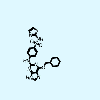 O=S(=O)(Nc1nccs1)c1ccc(Nc2nc(OCC3CCCCC3)c3nc[nH]c3n2)cc1